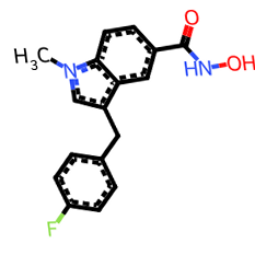 Cn1cc(Cc2ccc(F)cc2)c2cc(C(=O)NO)ccc21